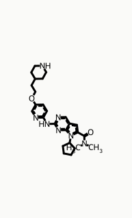 CN(C)C(=O)c1cc2cnc(Nc3ccc(OCCC4CCNCC4)cn3)nc2n1C1CCCC1